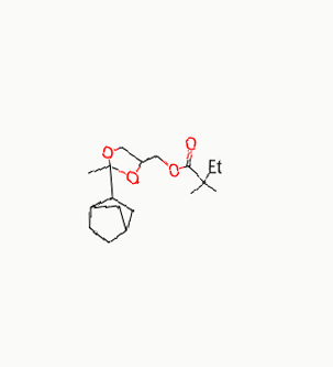 CCC(C)(C)C(=O)OCC1COC(C)(C2CC3CCC2C3)O1